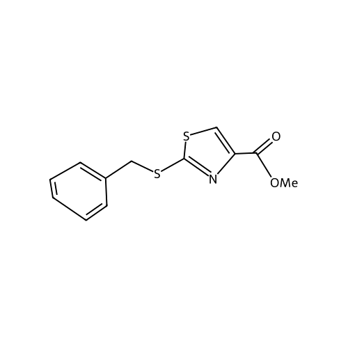 COC(=O)c1csc(SCc2ccccc2)n1